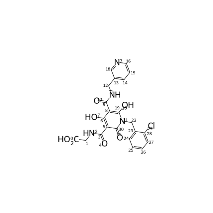 O=C(O)CNC(=O)c1c(O)c(C(=O)NCc2cccnc2)c(O)n(Cc2ccccc2Cl)c1=O